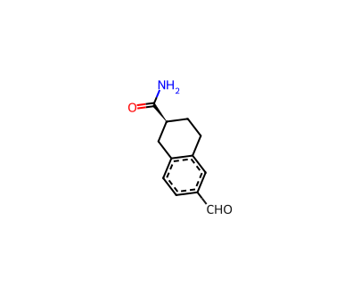 NC(=O)[C@H]1CCc2cc(C=O)ccc2C1